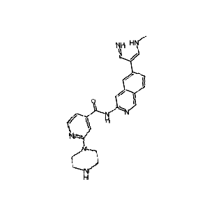 CN/C=C(\C=N)c1ccc2cnc(NC(=O)c3ccnc(N4CCNCC4)c3)cc2c1